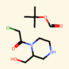 CC(C)(C)OC=O.O=C(CCl)N1CCNCC1CO